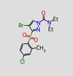 CCN(CC)C(=O)n1cc(Br)c(S(=O)(=O)c2ccc(Cl)cc2C)n1